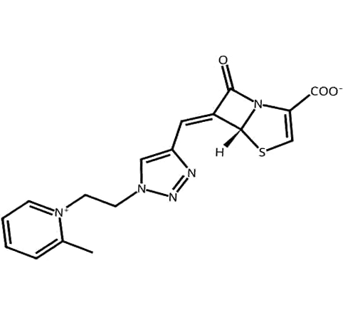 Cc1cccc[n+]1CCn1cc(/C=C2/C(=O)N3C(C(=O)[O-])=CS[C@H]23)nn1